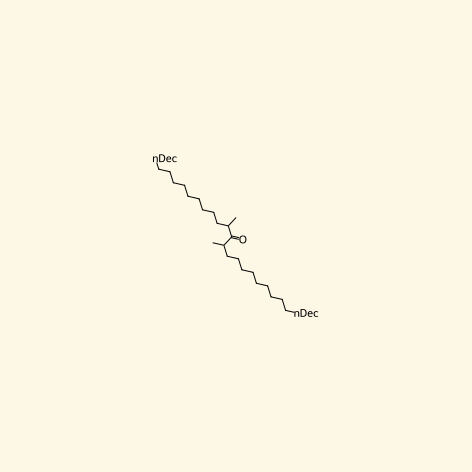 CCCCCCCCCCCCCCCCCCCC(C)C(=O)C(C)CCCCCCCCCCCCCCCCCCC